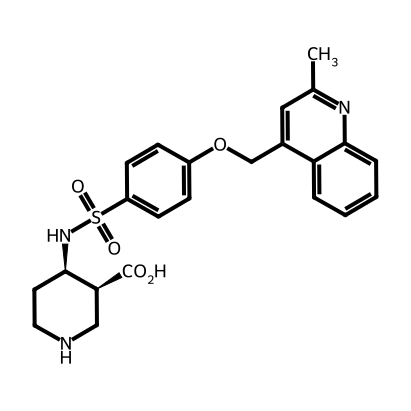 Cc1cc(COc2ccc(S(=O)(=O)N[C@@H]3CCNC[C@@H]3C(=O)O)cc2)c2ccccc2n1